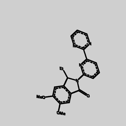 CCC1c2cc(OC)c(OC)cc2C(=O)N1c1cccc(-c2ncccn2)n1